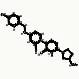 CNC1CCN(c2ccc(-n3ccc(OCc4ccc(Cl)cn4)cc3=O)c(=O)[nH]2)C1